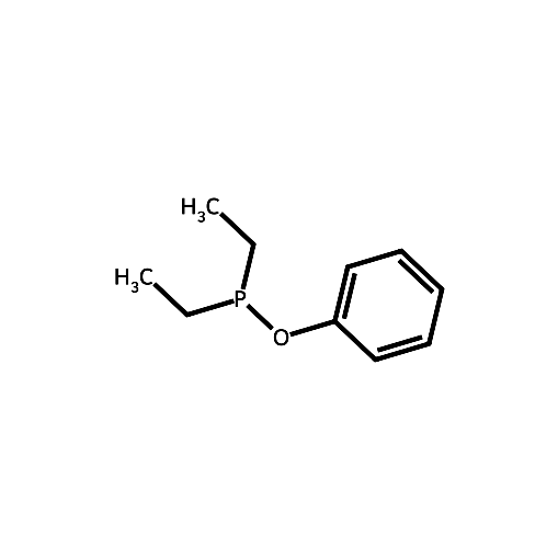 CCP(CC)Oc1ccccc1